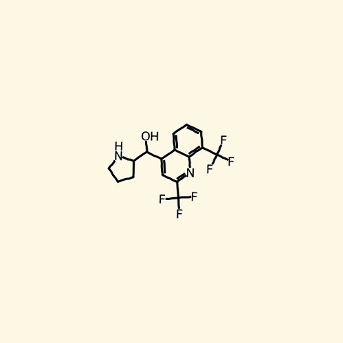 OC(c1cc(C(F)(F)F)nc2c(C(F)(F)F)cccc12)C1CCCN1